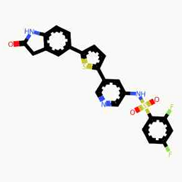 O=C1Cc2cc(-c3ccc(-c4cncc(NS(=O)(=O)c5ccc(F)cc5F)c4)s3)ccc2N1